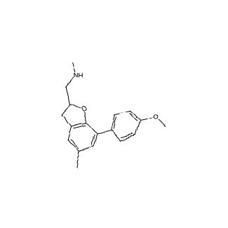 CNCC1Cc2cc(C)cc(-c3ccc(OC)cc3)c2O1